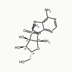 Nc1ncnc2c1ncn2[C@]1(N)O[C@H](CO)[C@@H](O)[C@]1(O)S(N)(=O)=O